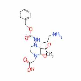 CC(=O)[C@@]1(CCCN)C(=O)N(CC(=O)O)CCN1NC(=O)OCc1ccccc1